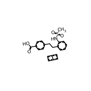 CS(=O)(=O)Nc1ccccc1CCc1ccc(C(=O)O)cc1.c1cc2ccc1-2